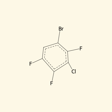 Fc1cc(Br)c(F)c(Cl)c1F